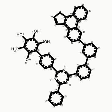 Cc1c(O)c(O)c(O)c(-c2ccc(-c3nc(-c4ccccc4)nc(-c4cccc(-c5cccc(-c6ccc7c8c(c9ccccc9c7c6)CC=C8)c5)c4)n3)cc2)c1O